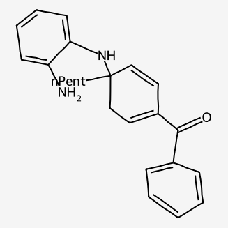 CCCCCC1(Nc2ccccc2N)C=CC(C(=O)c2ccccc2)=CC1